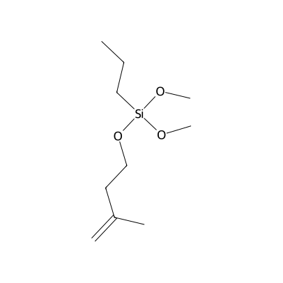 C=C(C)CCO[Si](CCC)(OC)OC